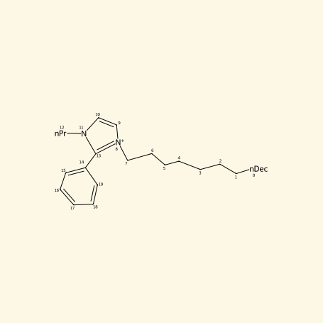 CCCCCCCCCCCCCCCCC[n+]1ccn(CCC)c1-c1ccccc1